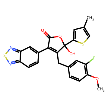 COc1ccc(CC2=C(c3ccc4nsnc4c3)C(=O)OC2(O)c2cc(C)cs2)cc1F